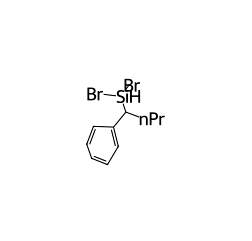 CCCC(c1ccccc1)[SiH](Br)Br